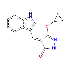 O=C1NN=C(OC2CC2)C1=Cc1c[nH]c2ccccc12